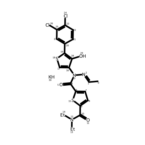 CC=NN(C(=O)c1ccc(C(=O)N(CC)CC)s1)c1csc(-c2ccc(Cl)c(Cl)c2)c1O.[KH]